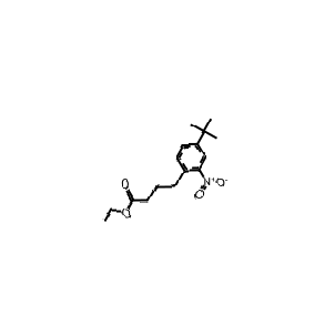 CCOC(=O)CCCc1ccc(C(C)(C)C)cc1[N+](=O)[O-]